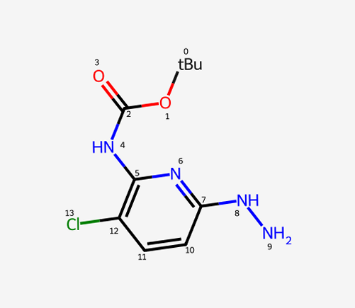 CC(C)(C)OC(=O)Nc1nc(NN)ccc1Cl